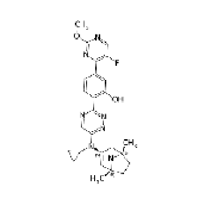 COc1ncc(F)c(-c2ccc(-c3ncc(N(C4CC4)[C@H]4C[C@]5(C)CC[C@](C)(C4)N5)nn3)c(O)c2)n1